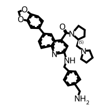 NCc1ccc(CNc2cc(C(=O)N3CCC[C@H]3CN3CCCC3)c3cc(-c4ccc5c(c4)OCO5)ccc3n2)cc1